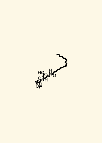 CCCCC/C=C\C/C=C\CCCCCCCC(=O)NCCCC(CC(=O)O)NC(=O)C1OC(C)(C)OCC1(C)C